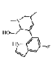 CC1C=C(c2cc(F)cc3cc[nH]c23)C(CO)N(C)C1